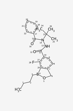 CCCCB1OCc2ccc(C(=O)NN(C(=O)c3ccccc3)C(C)(C)C)c(F)c21